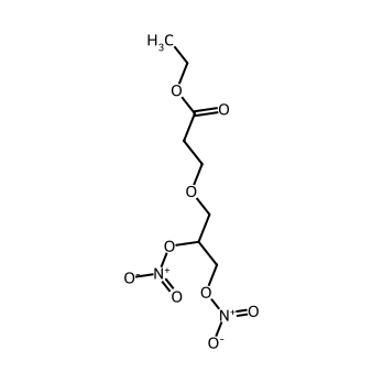 CCOC(=O)CCOCC(CO[N+](=O)[O-])O[N+](=O)[O-]